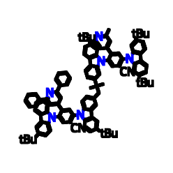 Cc1cc(-c2cc(-n3c4cc(C(C)(C)C)ccc4c4ccc(C(C)(C)C)cc43)c(C#N)cc2-n2c3cc(C(C)(C)C)ccc3c3ccc(C(C)(C)Cc4ccc5c(c4)c4cc(C(C)(C)C)ccc4n5-c4cc(-c5cc(-c6ccccc6)nc(-c6ccccc6)c5)c(-n5c6ccccc6c6cc(C(C)(C)C)ccc65)cc4C#N)cc32)cc(C)n1